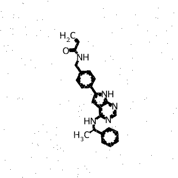 C=CC(=O)NCc1ccc(-c2cc3c(N[C@H](C)c4ccccc4)ncnc3[nH]2)cc1